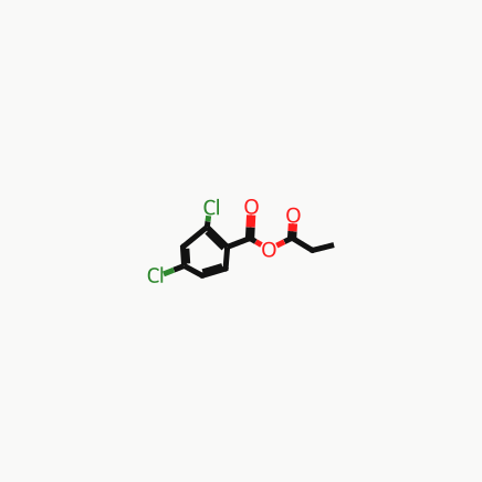 CCC(=O)OC(=O)c1ccc(Cl)cc1Cl